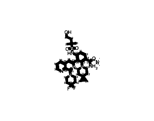 CC(C)(CCO)S(=O)(=O)Nc1ccc(C(N)=O)c(N2CCC3(CC2)CC3)c1-c1cc2cccnc2c(N2CCC(F)(F)CC2)n1.[N]